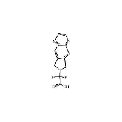 O=C(O)C(F)(F)C1Cc2cc3nccnc3cc2C1